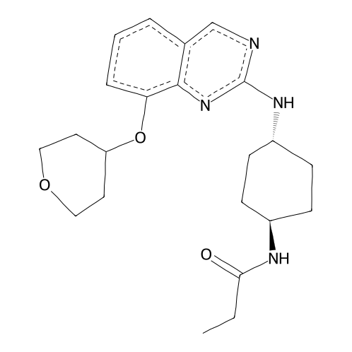 CCC(=O)N[C@H]1CC[C@H](Nc2ncc3cccc(OC4CCOCC4)c3n2)CC1